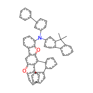 CC1(C)c2ccccc2-c2ccc(N(c3cccc(-c4ccccc4)c3)c3cccc4c3oc3c(-c5ccccc5-c5ccccc5)c5c(cc34)oc3ccccc35)cc21